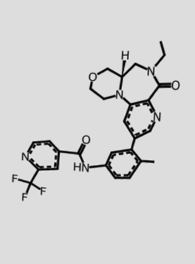 CCN1C[C@H]2COCCN2c2cc(-c3cc(NC(=O)c4ccnc(C(F)(F)F)c4)ccc3C)cnc2C1=O